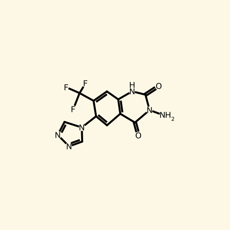 Nn1c(=O)[nH]c2cc(C(F)(F)F)c(-n3cnnc3)cc2c1=O